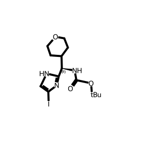 CC(C)(C)OC(=O)N[C@@H](c1nc(I)c[nH]1)C1CCOCC1